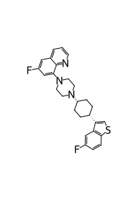 Fc1cc(N2CCN([C@H]3CC[C@@H](c4csc5ccc(F)cc54)CC3)CC2)c2ncccc2c1